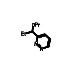 CCCC(CC)c1cccnn1